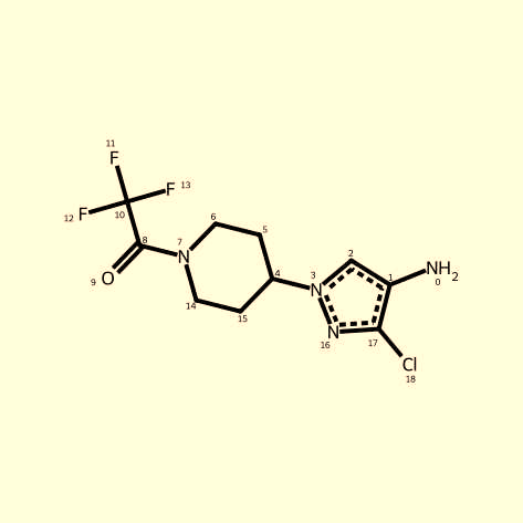 Nc1cn(C2CCN(C(=O)C(F)(F)F)CC2)nc1Cl